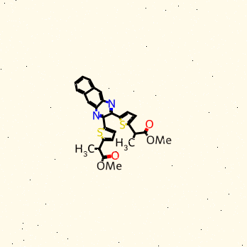 COC(=O)C(C)c1ccc(-c2nc3cc4ccccc4cc3nc2-c2ccc(C(C)C(=O)OC)s2)s1